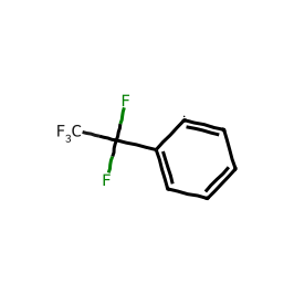 FC(F)(F)C(F)(F)c1[c]cccc1